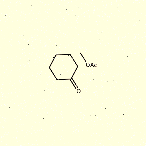 COC(C)=O.O=C1CCCCC1